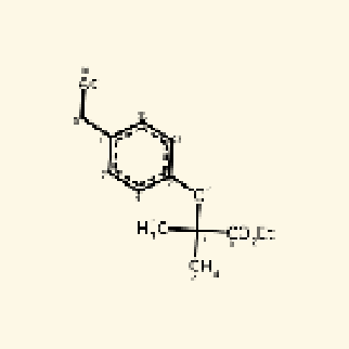 CCOC(=O)C(C)(C)Oc1ccc(CC(C)=O)cc1